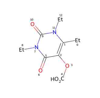 CCc1c(OC(=O)O)c(=O)n(CC)c(=O)n1CC